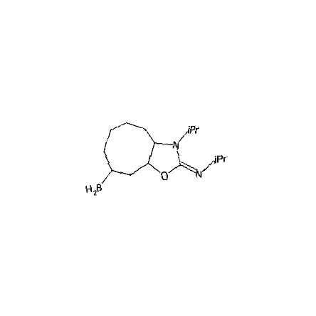 BC1CCCCC2C(C1)O/C(=N/C(C)C)N2C(C)C